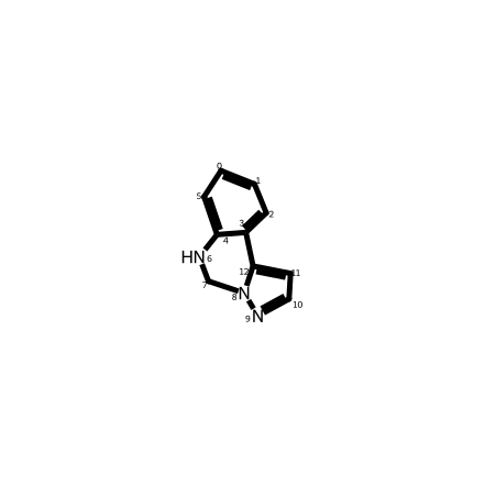 c1ccc2c(c1)NCn1nccc1-2